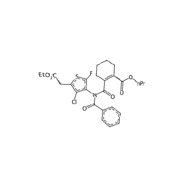 CCCOC(=O)C1=C(C(=O)N(C(=O)c2ccccc2)c2c(F)sc(CC(=O)OCC)c2Cl)CCCC1